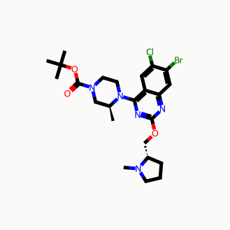 C[C@H]1CN(C(=O)OC(C)(C)C)CCN1c1nc(OC[C@@H]2CCCN2C)nc2cc(Br)c(Cl)cc12